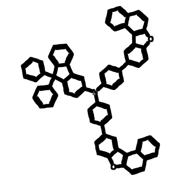 c1ccc(C2(c3ccccc3)c3ccccc3-c3cc(N(c4ccc(-c5ccc6oc7ccc8ccccc8c7c6c5)cc4)c4ccc(-c5ccc6oc7ccc8ccccc8c7c6c5)cc4)ccc32)cc1